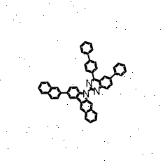 c1ccc(-c2ccc(-c3nc(-n4c5ccc(-c6ccc7ccccc7c6)cc5c5cc6ccccc6cc54)nc4ccc(-c5ccccc5)cc34)cc2)cc1